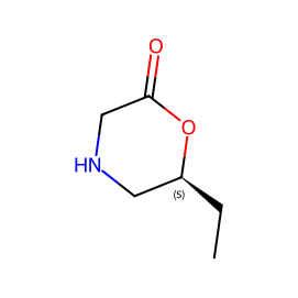 CC[C@H]1CNCC(=O)O1